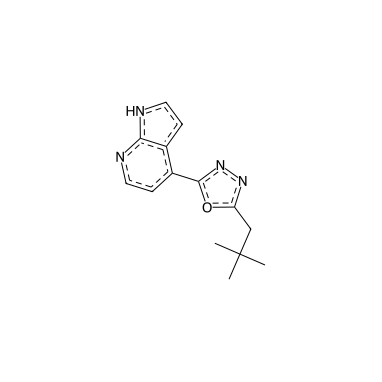 CC(C)(C)Cc1nnc(-c2ccnc3[nH]ccc23)o1